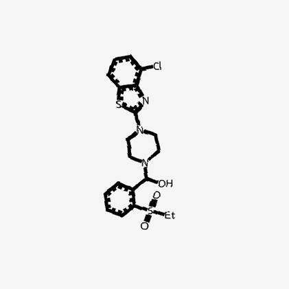 CCS(=O)(=O)c1ccccc1C(O)N1CCN(c2nc3c(Cl)cccc3s2)CC1